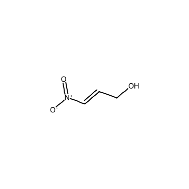 O=[N+]([O-])C=CCO